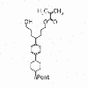 C=C(C)C(=O)OCCCC(CCCO)c1ccc(C2CCC(CCCCC)CC2)cc1